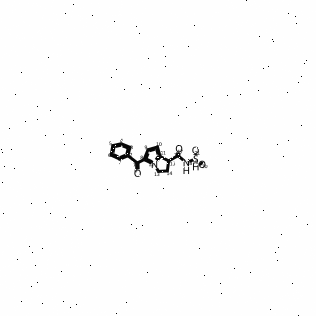 O=C(c1ccccc1)c1ccc2n1CCC2C(=O)N[SH](=O)=O